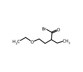 CCOCCC(CC)C(=O)Br